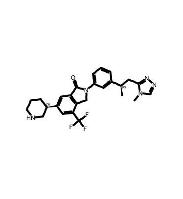 C[C@H](Cc1nncn1C)c1cccc(N2Cc3c(cc([C@@H]4CCCNC4)cc3C(F)(F)F)C2=O)c1